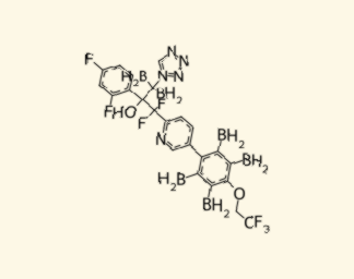 Bc1c(B)c(-c2ccc(C(F)(F)C(O)(c3ccc(F)cc3F)C(B)(B)n3cnnn3)nc2)c(B)c(B)c1OCC(F)(F)F